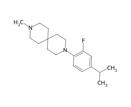 CC(C)c1ccc(N2CCC3(CCN(C)CC3)CC2)c(F)c1